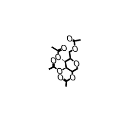 CC(=O)OCC1OCC(OC(C)=O)[C@@H](OC(C)=O)[C@@H]1OC(C)=O